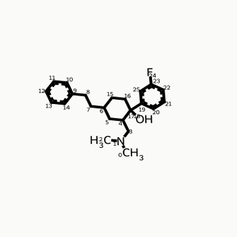 CN(C)CC1CC(CCc2ccccc2)CCC1(O)c1cccc(F)c1